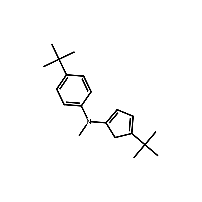 CN(C1=CC=C(C(C)(C)C)C1)c1ccc(C(C)(C)C)cc1